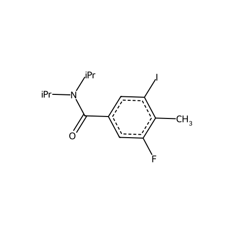 Cc1c(F)cc(C(=O)N(C(C)C)C(C)C)cc1I